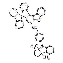 CC12CCCC1(C)N(c1ccc(/C=C/c3cc4c(c5c3oc3ccccc35)-c3ccccc3C43c4ccccc4-c4ccccc43)cc1)c1ccccc12